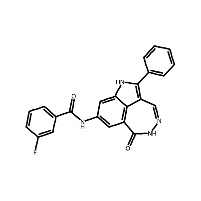 O=C(Nc1cc2c3c(c(-c4ccccc4)[nH]c3c1)C=NNC2=O)c1cccc(F)c1